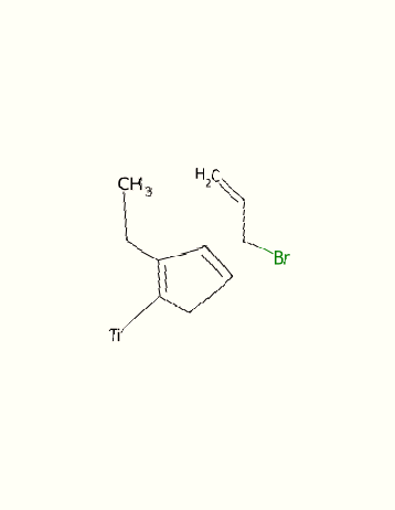 C=CCBr.CCC1=[C]([Ti])CC=C1